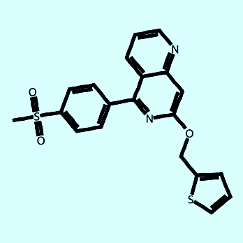 CS(=O)(=O)c1ccc(-c2nc(OCc3cccs3)cc3ncccc23)cc1